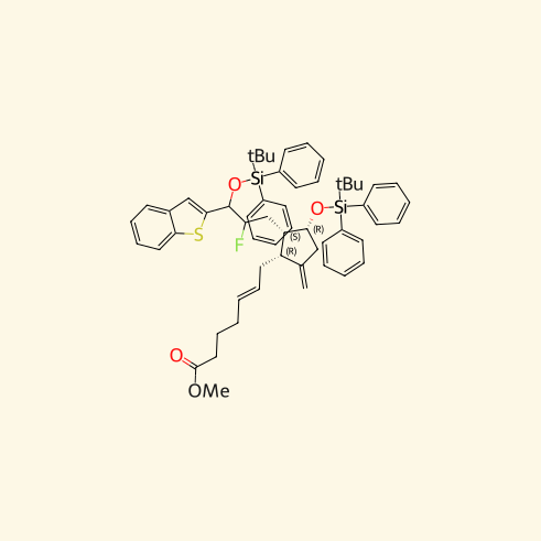 C=C1C[C@@H](O[Si](c2ccccc2)(c2ccccc2)C(C)(C)C)[C@@H](CC(F)C(O[Si](c2ccccc2)(c2ccccc2)C(C)(C)C)c2cc3ccccc3s2)[C@H]1CC=CCCCC(=O)OC